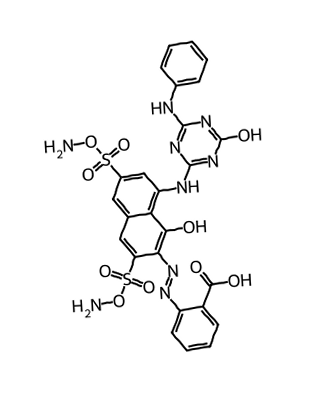 NOS(=O)(=O)c1cc(Nc2nc(O)nc(Nc3ccccc3)n2)c2c(O)c(N=Nc3ccccc3C(=O)O)c(S(=O)(=O)ON)cc2c1